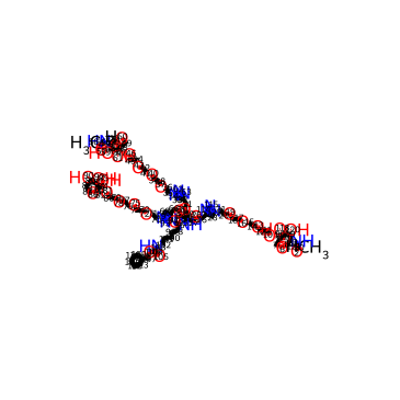 CC(=O)N[C@H]1[C@H]2OC[C@](COCCOCCOCCOCCn3cc(COCC(COCc4cn(CCOCCOCCOCCOC[C@@]56CO[C@@H](O5)[C@H](NC(C)=O)[C@@H](O)[C@H]6O)nn4)(COCc4cn(CCOCCOCCOCCOC[C@@]5(CO)OCC[C@@H](O)[C@H]5O)nn4)NC(=O)CCCCCNC(=O)OCc4ccccc4)nn3)(O2)[C@H](O)[C@@H]1O